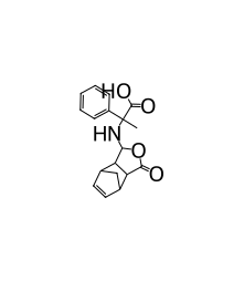 CC(NC1OC(=O)C2C3C=CC(C3)C12)(C(=O)O)c1ccccc1